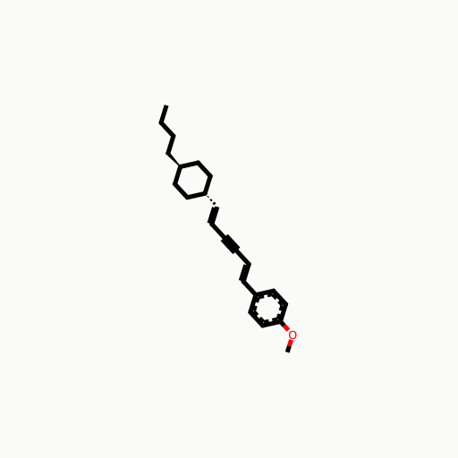 CCCC[C@H]1CC[C@H](C=CC#CC=Cc2ccc(OC)cc2)CC1